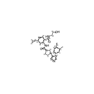 Cc1ccc([C@]2(c3ncns3)CCN(C(=O)Nc3cc(C4CC4)ncc3C(=O)NCCO)C2)cc1F